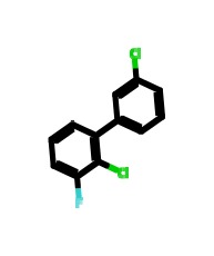 Fc1cc[c]c(-c2cccc(Cl)c2)c1Cl